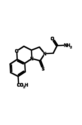 NC(=O)CN1CC2COc3ccc(C(=O)O)cc3N2C1=S